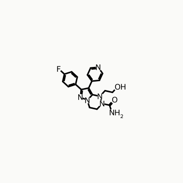 NC(=O)N1CCn2nc(-c3ccc(F)cc3)c(-c3ccncc3)c2N1CCO